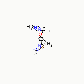 C=C(COc1ccc(-c2csc(CNC)n2)c(CC)c1)N1CCN(C)CC1